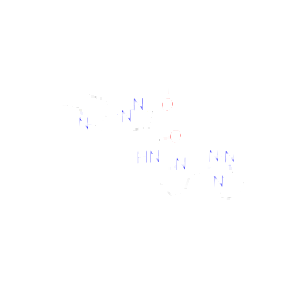 COc1nn(-c2ccc(C)nc2C)cc1C(=O)Nc1cccc(-c2nnc3n2[C@@H](C)CC3)n1